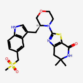 CC1(C)Cc2nc(N3CCOC[C@@H]3Cc3c[nH]c4ccc(CS(C)(=O)=O)cc34)sc2C(=O)N1